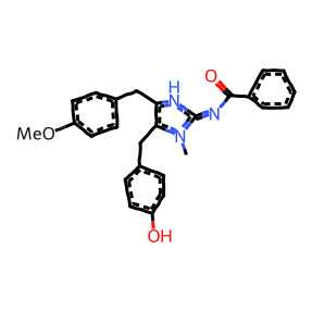 COc1ccc(Cc2[nH]/c(=N\C(=O)c3ccccc3)n(C)c2Cc2ccc(O)cc2)cc1